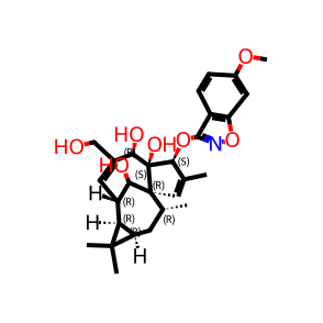 COc1ccc2c(O[C@H]3C(C)=C[C@]45C(O)[C@@H](C=C(CO)[C@@H](O)[C@]34O)[C@H]3[C@@H](C[C@H]5C)C3(C)C)noc2c1